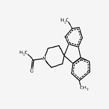 CC(=O)N1CCC2(CC1)c1cc(C)ccc1-c1ccc(C)cc12